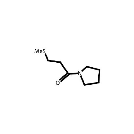 CSCCC(=O)N1CCCC1